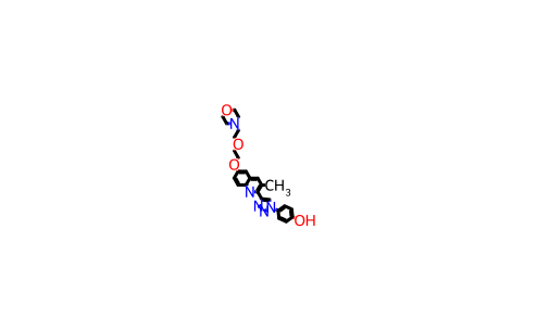 Cc1cc2cc(OCCOCCN3CCOCC3)ccc2nc1-c1cn(-c2ccc(O)cc2)nn1